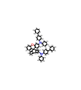 c1ccc(-c2ccc(N(c3ccccc3)c3ccc4c(c3)Oc3ccccc3C43c4ccccc4-c4cc(N(c5ccccc5)c5ccc(-c6ccccc6)cc5)ccc43)cc2)cc1